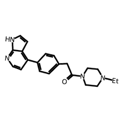 CCN1CCN(C(=O)Cc2ccc(-c3ccnc4[nH]ccc34)cc2)CC1